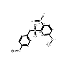 COc1ccc(CS(=O)(=O)c2nc(OC)ccc2[N+](=O)[O-])cc1